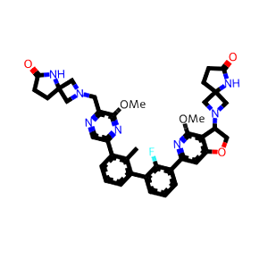 COc1nc(-c2cccc(-c3cccc(-c4cc5c(c(OC)n4)C(N4CC6(CCC(=O)N6)C4)CO5)c3F)c2C)cnc1CN1CC2(CCC(=O)N2)C1